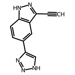 C#Cc1n[nH]c2ccc(-c3c[nH]nn3)cc12